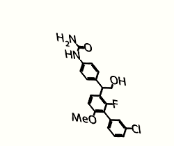 COc1ccc(C(CO)c2ccc(NC(N)=O)cc2)c(F)c1-c1cccc(Cl)c1